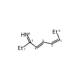 CC/C=C\C=C\C(=N)CC